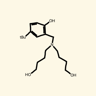 CC(C)(C)c1ccc(O)c(CN(CCCCO)CCCCO)c1